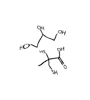 CC(S)(S)C(=O)O.OCC(O)CO